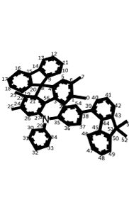 Cc1cc2c(cc1C)C1(c3ccccc3-c3ccccc31)c1c(C)c(C)cc(N(c3ccccc3)c3ccc(-c4cccc5c4-c4ccccc4C5(C)C)cc3)c1-2